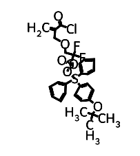 C=C(COCC(F)(F)S(=O)(=O)OS(c1ccccc1)(c1ccccc1)c1ccc(OC(C)(C)C)cc1)C(=O)Cl